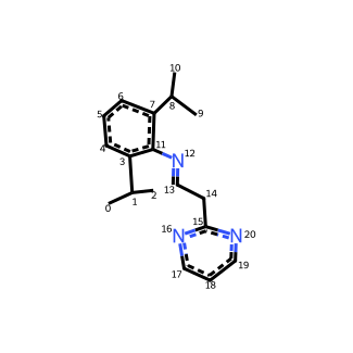 CC(C)c1cccc(C(C)C)c1N=CCc1ncccn1